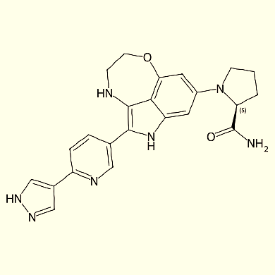 NC(=O)[C@@H]1CCCN1c1cc2c3c(c(-c4ccc(-c5cn[nH]c5)nc4)[nH]c3c1)NCCO2